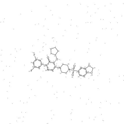 O=c1c(OC2CCCC2)c(N2CCN(S(=O)(=O)c3ccc4c(c3)OCO4)CC2)cnn1-c1cc(F)cc(F)c1